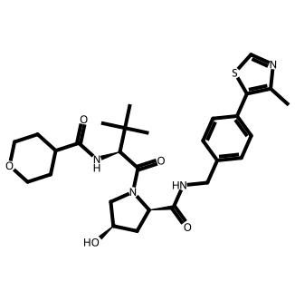 Cc1ncsc1-c1ccc(CNC(=O)[C@H]2C[C@@H](O)CN2C(=O)[C@@H](NC(=O)C2CCOCC2)C(C)(C)C)cc1